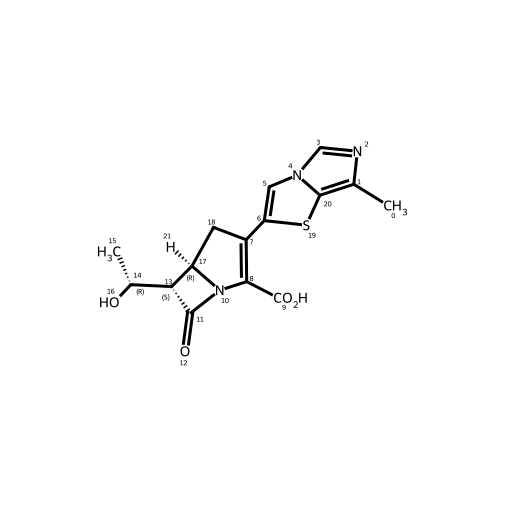 Cc1ncn2cc(C3=C(C(=O)O)N4C(=O)[C@H]([C@@H](C)O)[C@H]4C3)sc12